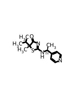 CC(C)[C@@]1(C)SC(N[C@@H](C)c2ccncc2)=NC1=O